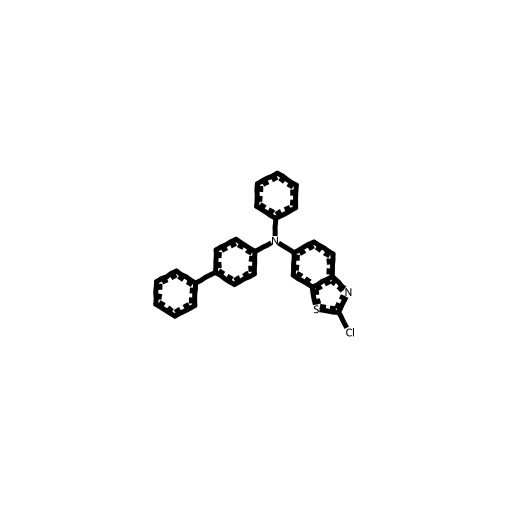 Clc1nc2ccc(N(c3ccccc3)c3ccc(-c4ccccc4)cc3)cc2s1